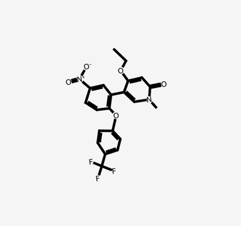 CCOc1cc(=O)n(C)cc1-c1cc([N+](=O)[O-])ccc1Oc1ccc(C(F)(F)F)cc1